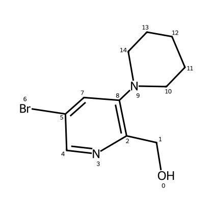 OCc1ncc(Br)cc1N1CCCCC1